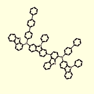 c1ccc(-c2ccc(-c3ccc(N(c4ccc5c6ccc(-c7ccc(N(c8ccc(-c9ccccc9)cc8)c8ccc9c%10ccccc%10n(-c%10ccccc%10)c9c8)c8sc9ccccc9c78)cc6n(-c6ccccc6)c5c4)c4cccc5c4sc4ccccc45)cc3)cc2)cc1